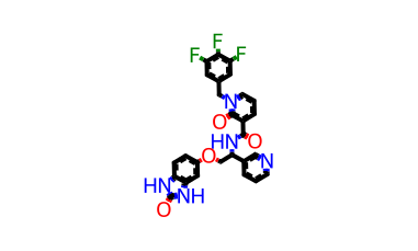 O=C(NC(COc1ccc2[nH]c(=O)[nH]c2c1)c1cccnc1)c1cccn(Cc2cc(F)c(F)c(F)c2)c1=O